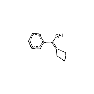 SC(=C1CCC1)c1ccccc1